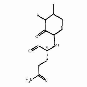 CC1CCC(N[C@@H](C=O)CCC(N)=O)C(=O)C1I